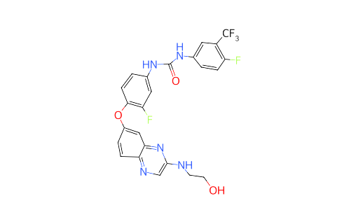 O=C(Nc1ccc(Oc2ccc3ncc(NCCO)nc3c2)c(F)c1)Nc1ccc(F)c(C(F)(F)F)c1